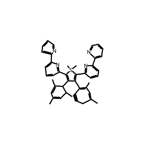 CC1=CC(C)C(C2=C(c3cccc(-c4ccccn4)n3)S(C)(C)C(c3cccc(-c4ccccn4)n3)=C2C2=C(C)C=C(C)CC#C2)C(C)=C1